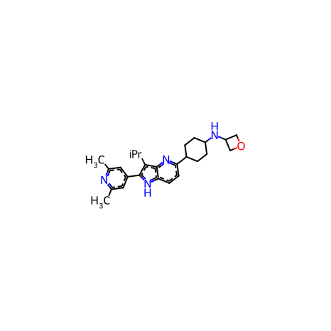 Cc1cc(-c2[nH]c3ccc(C4CCC(NC5COC5)CC4)nc3c2C(C)C)cc(C)n1